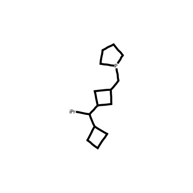 CC(C)C(C1CCC1)C1CC(CP2CCCC2)C1